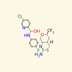 NC1=N[C@@]2(c3cc(NC(O)c4ccc(Cl)cn4)ccc3F)CO[C@@H](C(F)(F)F)C[C@H]2CS1